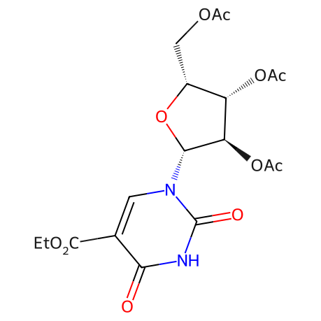 CCOC(=O)c1cn([C@@H]2O[C@H](COC(C)=O)[C@H](OC(C)=O)[C@H]2OC(C)=O)c(=O)[nH]c1=O